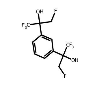 OC(CF)(c1cccc(C(O)(CF)C(F)(F)F)c1)C(F)(F)F